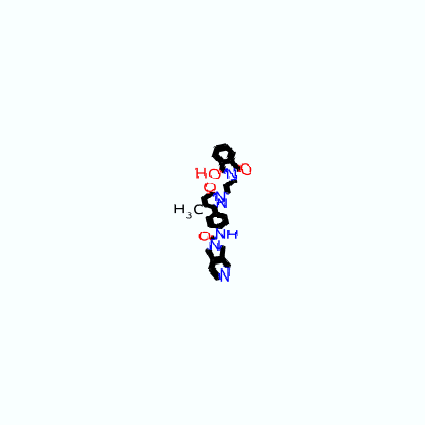 CC1CC(=O)N(CCCN2C(=O)c3ccccc3C2O)N=C1c1ccc(NC(=O)N2Cc3ccncc3C2)cc1